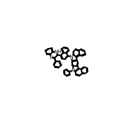 c1ccc(C2=Nc3ccccc3NC2c2ccc(-n3c4cc5c(cc4c4c6ccccc6ccc43)c3c4ccccc4ccc3n5-c3ccccc3)c3ccccc23)cc1